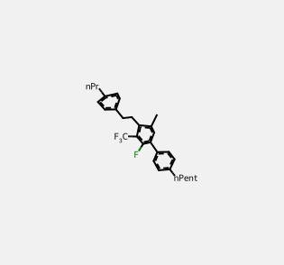 CCCCCc1ccc(-c2cc(C)c(CCc3ccc(CCC)cc3)c(C(F)(F)F)c2F)cc1